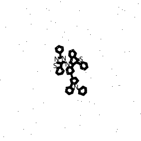 c1ccc(-c2nc(-n3c4ccc(-c5ccc6c(c5)c5ccccc5n6-c5ccccc5)cc4c4c5c6ccccc6sc5c5ccccc5c43)c3c(n2)sc2ccccc23)cc1